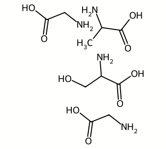 CC(N)C(=O)O.NC(CO)C(=O)O.NCC(=O)O.NCC(=O)O